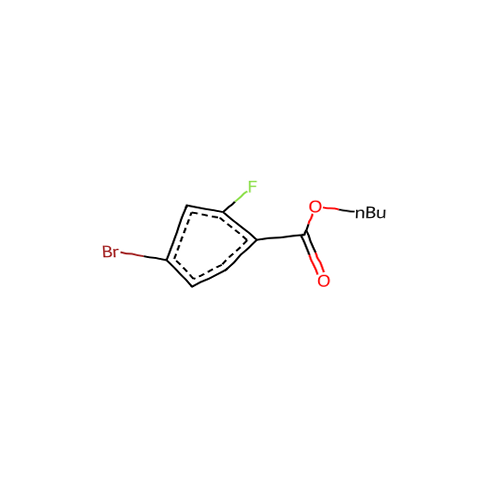 CCCCOC(=O)c1ccc(Br)cc1F